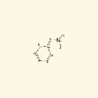 CN(C)C=C1C=CC=CC1